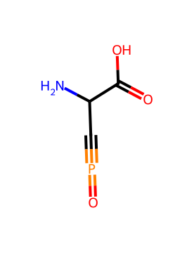 NC(C#P=O)C(=O)O